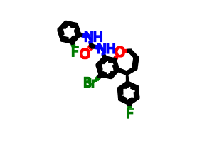 O=C(Nc1ccccc1F)Nc1cc(Br)cc2c1OCC=C[C@H]2c1ccc(F)cc1